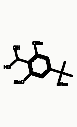 CCCCCCC(C)(C)c1cc(OC)c(B(O)O)c(OC)c1